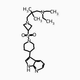 CCN(CC)CC(C)(C)CN1CC(S(=O)(=O)N2CCC(c3c[nH]c4ncccc34)CC2)C1